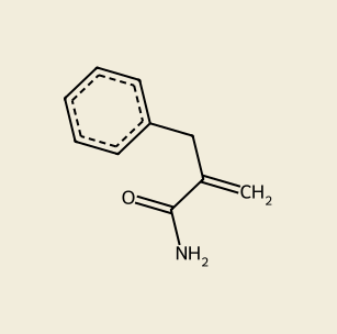 C=C(Cc1ccccc1)C(N)=O